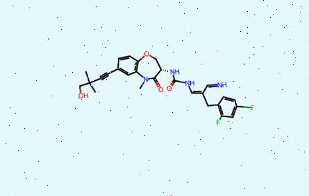 CN1C(=O)[C@@H](NC(=O)N/C=C(\C=N)Cc2ccc(F)cc2F)COc2ccc(C#CC(C)(C)CO)cc21